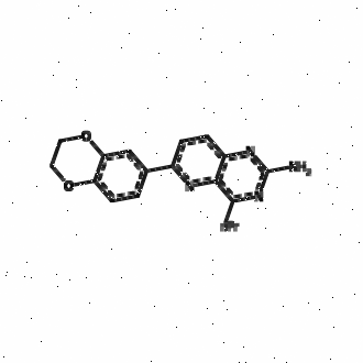 CCCc1nc(N)nc2ccc(-c3ccc4c(c3)OCCO4)nc12